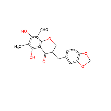 Cc1c(O)c(C=O)c2c(c1O)C(=O)C(Cc1ccc3c(c1)OCO3)CO2